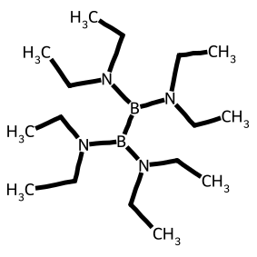 CCN(CC)B(B(N(CC)CC)N(CC)CC)N(CC)CC